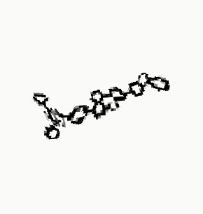 c1ccc(-c2nc(-c3ccccc3)nc(-c3ccc(-c4ccc5c6c(cccc46)-c4ccc(-c6ccc7c(c6)oc6ccccc67)cc4O5)cc3)n2)cc1